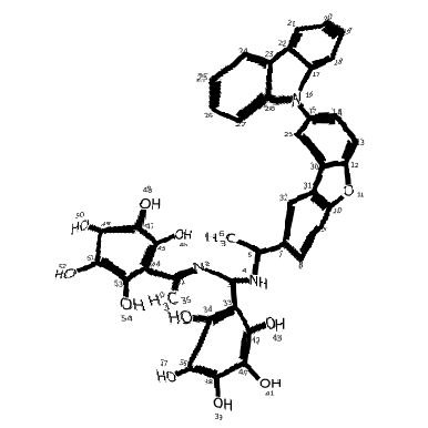 C/C(=N\C(NC(C)c1ccc2oc3ccc(-n4c5ccccc5c5ccccc54)cc3c2c1)c1c(O)c(O)c(O)c(O)c1O)c1c(O)c(O)c(O)c(O)c1O